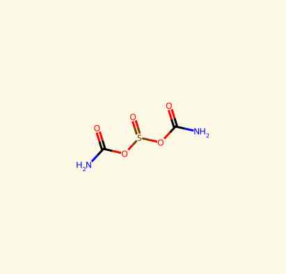 NC(=O)OS(=O)OC(N)=O